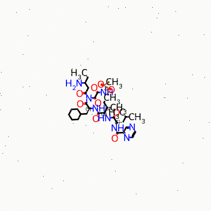 CCC(N)CC(=O)N(C(=O)C(=O)NS(C)(=O)=O)C(=O)[C@H](CC1CCCCC1)NC(=O)[C@@H](NC(=O)[C@H](CC(C)C)NC(=O)c1cnccn1)[C@@H](C)CC